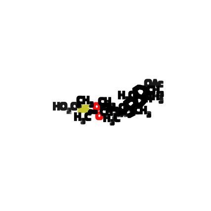 CC(=O)OC1CC[C@]2(C)C3=C(CC[C@H]2C1(C)C)[C@]1(C)CC[C@H]([C@H](C)CCCC(C)(C)OC(=O)C(C)SSC(C)C(=O)O)[C@@]1(C)CC3